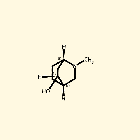 CN1C[C@@H]2CC[C@H]1C[C@H]2O